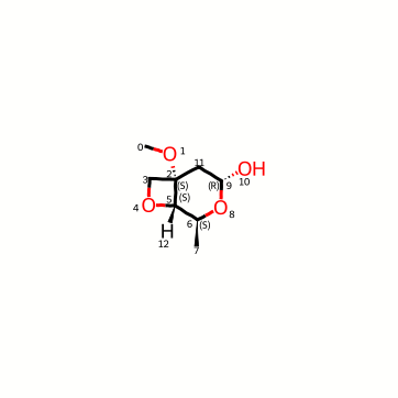 CO[C@@]12CO[C@H]1[C@H](C)O[C@@H](O)C2